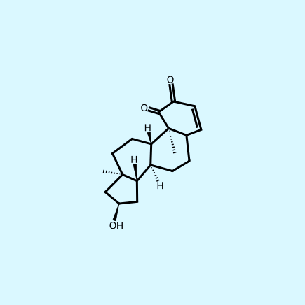 C[C@]12CC[C@H]3[C@@H](CCC4C=CC(=O)C(=O)[C@@]43C)[C@@H]1C[C@@H](O)C2